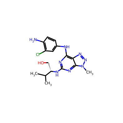 CC(C)[C@H](CO)Nc1nc(Nc2ccc(N)c(Cl)c2)c2nnn(C)c2n1